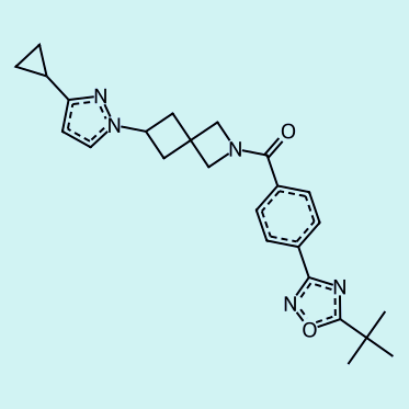 CC(C)(C)c1nc(-c2ccc(C(=O)N3CC4(CC(n5ccc(C6CC6)n5)C4)C3)cc2)no1